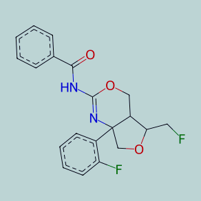 O=C(NC1=NC2(c3ccccc3F)COC(CF)C2CO1)c1ccccc1